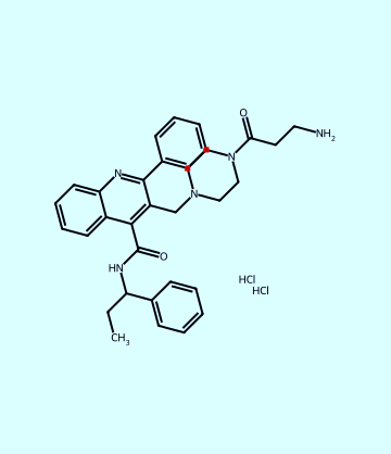 CCC(NC(=O)c1c(CN2CCN(C(=O)CCN)CC2)c(-c2ccccc2)nc2ccccc12)c1ccccc1.Cl.Cl